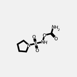 NC(=O)ONS(=O)(=O)N1CCCC1